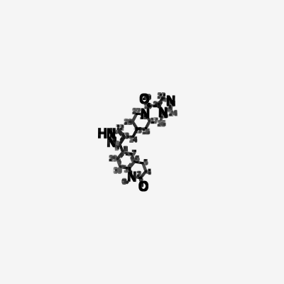 CN1C(=O)CCc2cc(-c3n[nH]cc3CC3CCN(C(=O)c4cncn4C)CC3)ccc21